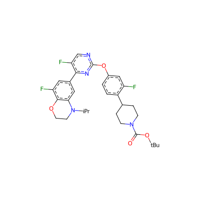 CC(C)N1CCOc2c(F)cc(-c3nc(Oc4ccc(C5CCN(C(=O)OC(C)(C)C)CC5)c(F)c4)ncc3F)cc21